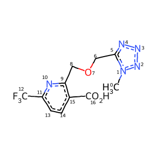 Cn1nnnc1COCc1nc(C(F)(F)F)ccc1C(=O)O